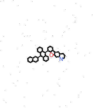 c1ccc2cc(-c3c4ccccc4c(-c4cccc5c4oc4cc6ncccc6cc45)c4ccccc34)ccc2c1